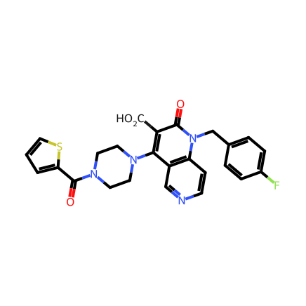 O=C(O)c1c(N2CCN(C(=O)c3cccs3)CC2)c2cnccc2n(Cc2ccc(F)cc2)c1=O